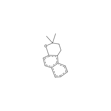 CC1(C)CCc2c(ccc3ccccc23)O1